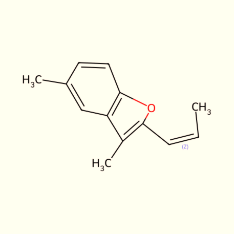 C/C=C\c1oc2ccc(C)cc2c1C